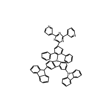 c1ccc(-c2cc(-c3nc(-c4cccnc4)nc(-c4cccnc4)n3)cc(-c3ccccc3)c2-n2c3ccc(C4c5ccccc5-c5ccccc54)cc3c3cc(-n4c5ccccc5c5ccccc54)ccc32)cc1